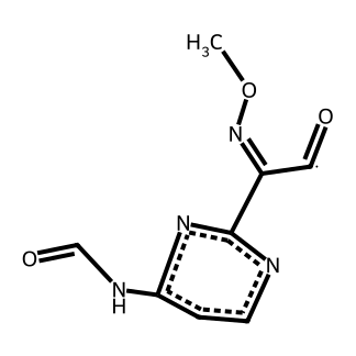 CON=C([C]=O)c1nccc(NC=O)n1